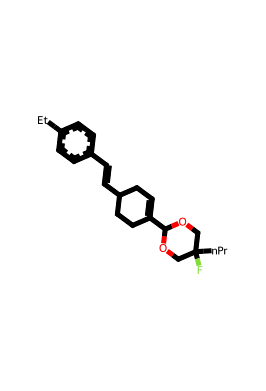 CCCC1(F)COC(C2=CCC(/C=C/c3ccc(CC)cc3)CC2)OC1